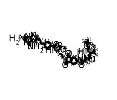 COC(=O)[C@H](CCCN1C(=O)c2ccc(NC(=O)[C@H](C)NC(=O)[C@@H](NC(=O)OC(C)(C)C)C(C)C)cc2C1=O)NC(=O)c1ccc(CCc2cnc3nc(N)nc(N)c3n2)cc1